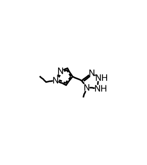 CCn1cc(C2=NNNN2C)cn1